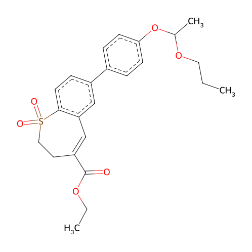 CCCOC(C)Oc1ccc(-c2ccc3c(c2)C=C(C(=O)OCC)CCS3(=O)=O)cc1